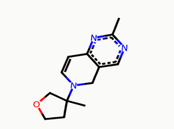 Cc1ncc2c(n1)C=CN(C1(C)CCOC1)C2